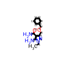 CCn1nc(COCc2ccccc2)c(C(N)=O)c1N